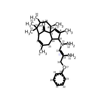 CC1=CC2C(=O)C3(C=C(C)C(N(N)/C=C(\N)COc4ccccc4)C3C1)[C@H](C)CC(C)C2(C)C